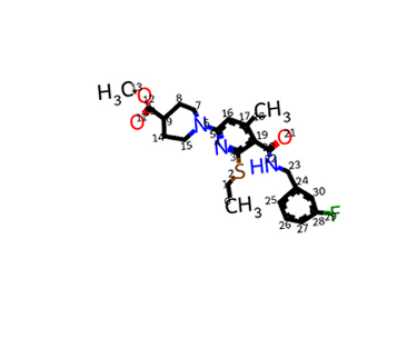 CCSc1nc(N2CCC(C(=O)OC)CC2)cc(C)c1C(=O)NCc1cccc(F)c1